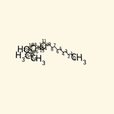 CCCCCCCCCCC1CC2CC1CC2c1ccc(O)c(C(C)C)c1